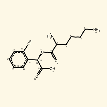 NCCCCC(N)C(=O)O[C@@H](C(=O)O)c1ccccc1Cl